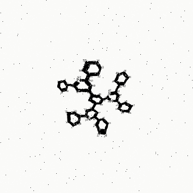 c1ccc(-c2cc(-c3cc(-c4cc(-c5ccccc5)nc(-c5ccccc5)c4)cc(-c4nc(-c5ccccc5)cc(-c5ccccc5)n4)c3)cc(-c3ccccc3)n2)cc1